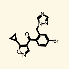 O=C(c1ccc(Br)cc1Cn1cncn1)c1cnoc1C1CC1